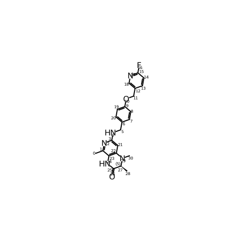 Cc1nc(NCc2ccc(OCc3ccc(F)nc3)cc2)cc2c1NC(=O)[C@H](C)N2C